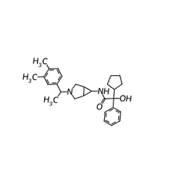 Cc1ccc(C(C)N2CC3C(C2)C3NC(=O)C(O)(c2ccccc2)C2CCCC2)cc1C